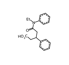 CCN(C(=O)CC(CC(=O)O)c1ccccc1)c1ccccc1